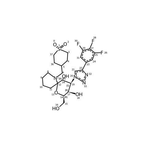 O=S1(=O)CCC(CN2CCCCC23O[C@H](CO)[C@H](O)[C@H](n2cc(-c4cc(F)c(F)c(F)c4)nn2)[C@H]3O)CC1